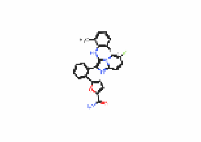 Cc1cccc(C)c1Nc1c(-c2ccccc2-c2ccc(C(N)=O)o2)nc2ccc(F)cn12